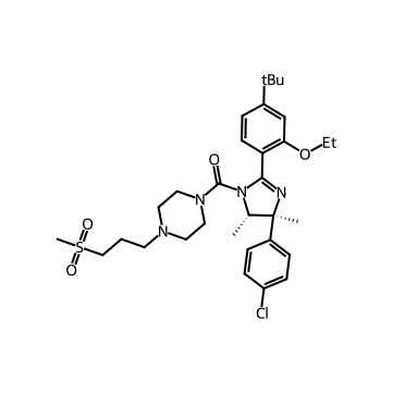 CCOc1cc(C(C)(C)C)ccc1C1=N[C@@](C)(c2ccc(Cl)cc2)[C@H](C)N1C(=O)N1CCN(CCCS(C)(=O)=O)CC1